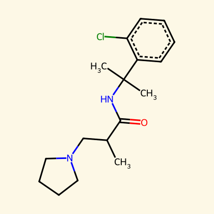 CC(CN1CCCC1)C(=O)NC(C)(C)c1ccccc1Cl